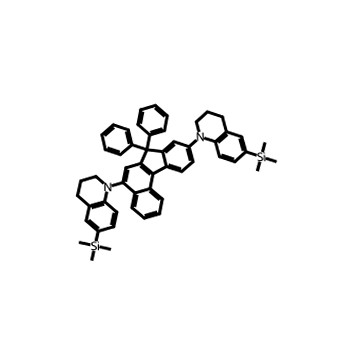 C[Si](C)(C)c1ccc2c(c1)CCCN2c1ccc2c(c1)C(c1ccccc1)(c1ccccc1)c1cc(N3CCCc4cc([Si](C)(C)C)ccc43)c3ccccc3c1-2